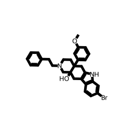 COc1cccc(C23CCN(CCc4ccccc4)CC2(O)Cc2c([nH]c4cc(Br)ccc24)C3)c1